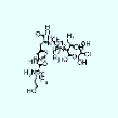 C=CC.CN[C@@H](Cc1c[nH]cn1)C(=O)O.C[C@@H](O)[C@H](N)C(=O)O.C[C@H](N)C(=O)O.OCC(O)CO.OCCO